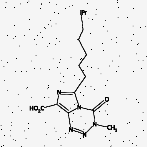 CC(C)CCCCCc1nc(C(=O)O)c2nnn(C)c(=O)n12